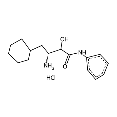 Cl.N[C@H](CC1CCCCC1)C(O)C(=O)Nc1ccccc1